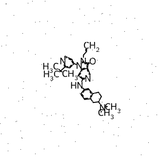 C=CCn1c(=O)c2cnc(Nc3ccc4c(c3)CCC(N(C)C)C4)cc2n1-c1ccnc(C(C)(C)C)c1